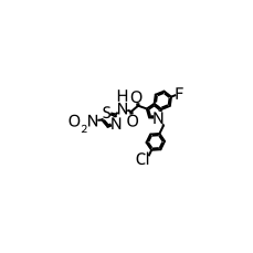 O=C(Nc1ncc([N+](=O)[O-])s1)C(=O)c1cn(Cc2ccc(Cl)cc2)c2cc(F)ccc12